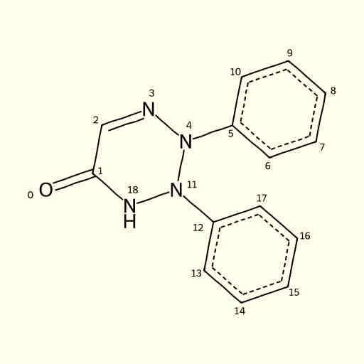 O=C1C=NN(c2ccccc2)N(c2ccccc2)N1